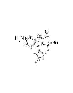 CCCC[C@H]1Cc2cc(C)sc2[C@H](c2ccc(N)cc2)N1C(=O)CCl